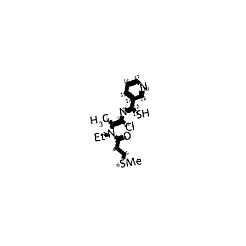 CCN(C(=O)CCSC)/C(C)=C(Cl)/N=C(\S)c1cccnc1